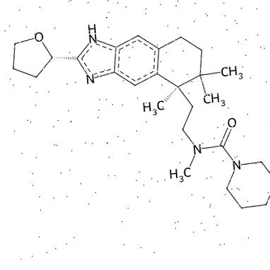 CN(CC[C@@]1(C)c2cc3nc([C@@H]4CCCO4)[nH]c3cc2CCC1(C)C)C(=O)N1CCCCC1